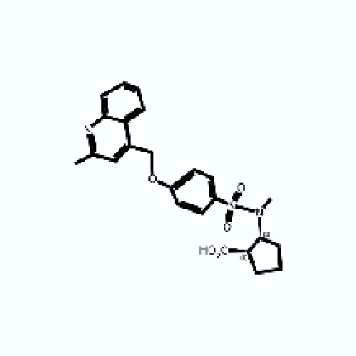 Cc1cc(COc2ccc(S(=O)(=O)N(C)[C@H]3CCC[C@H]3C(=O)O)cc2)c2ccccc2n1